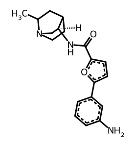 CC1CC2CCN1C[C@@H]2NC(=O)c1ccc(-c2cccc(N)c2)o1